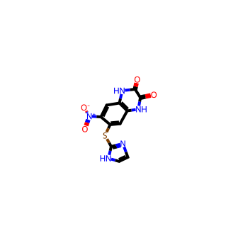 O=c1[nH]c2cc(Sc3ncc[nH]3)c([N+](=O)[O-])cc2[nH]c1=O